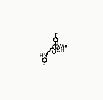 CO[C@H](C[C@H](CCCCNc1ccc(F)cc1)C(=O)NO)c1ccc(F)cc1